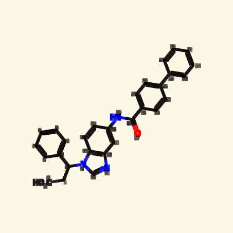 O=C(O)CC(c1ccccc1)n1cnc2cc(NC(=O)c3ccc(-c4ccccc4)cc3)ccc21